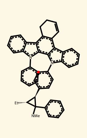 CC[C@@H]1[C@@H](c2ccc(-n3c4ccccc4c4c5c(c6c7ccccc7n(-c7ccccc7)c6c43)CCC=C5)cc2)C1(NC)c1ccccc1